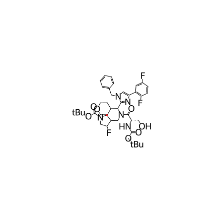 CC(C)(C)OC(=O)N[C@@H](CO)C(=O)N(CC1CN(C(=O)OC(C)(C)C)CC1F)C(c1nc(-c2cc(F)ccc2F)cn1Cc1ccccc1)C1CCOCC1